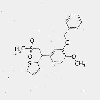 COc1ccc(C(CS(C)(=O)=O)C2C=CCS2)cc1OCc1ccccc1